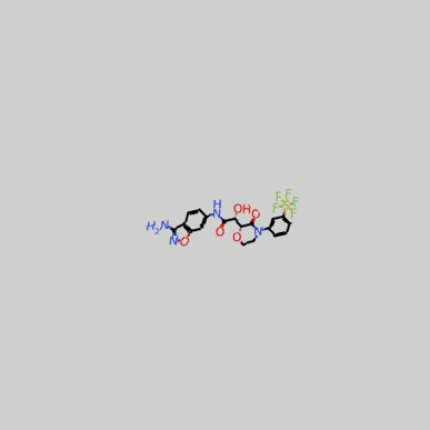 Nc1noc2cc(NC(=O)[C@H](O)[C@H]3OCCN(c4cccc(S(F)(F)(F)(F)F)c4)C3=O)ccc12